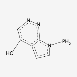 Oc1cnnc2c1ccn2P